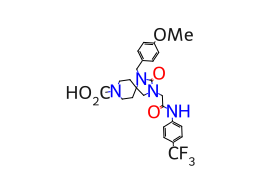 COc1ccc(CN2C(=O)N(CC(=O)Nc3ccc(C(F)(F)F)cc3)CC23CCN(C(=O)O)CC3)cc1